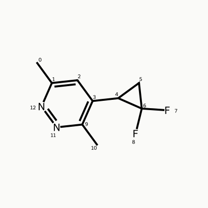 Cc1cc(C2CC2(F)F)c(C)nn1